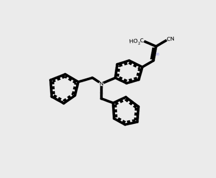 N#C/C(=C/c1ccc(N(Cc2ccccc2)Cc2ccccc2)cc1)C(=O)O